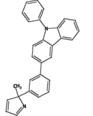 CC1(c2cccc(-c3ccc4c(c3)c3ccccc3n4-c3ccccc3)c2)C=CC=N1